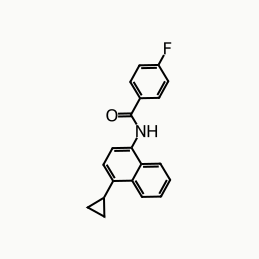 O=C(Nc1ccc(C2CC2)c2ccccc12)c1ccc(F)cc1